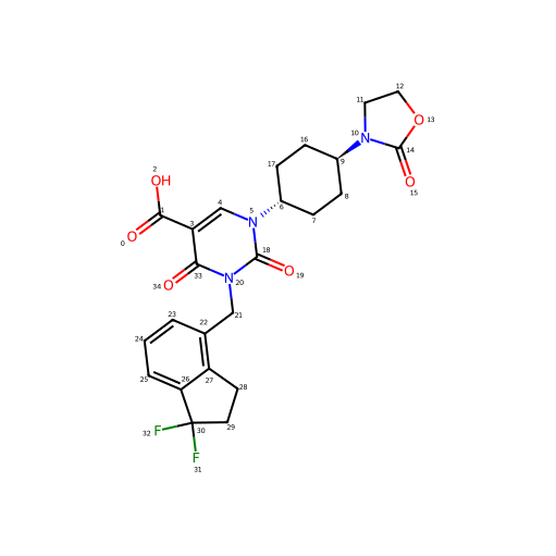 O=C(O)c1cn([C@H]2CC[C@H](N3CCOC3=O)CC2)c(=O)n(Cc2cccc3c2CCC3(F)F)c1=O